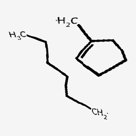 [CH2]C1=CCCC1.[CH2]CCCCC